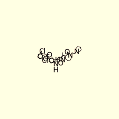 Cc1c(/C=C2\C(=O)Nc3ccc(S(=O)(=O)Cc4c(Cl)cccc4Cl)cc32)[nH]c2c1C(=O)N(CCN1CCCCC1)CCC2